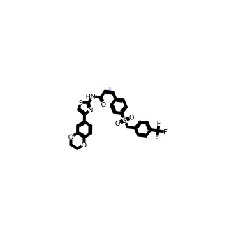 O=C(/C=C\c1ccc(S(=O)(=O)Cc2ccc(C(F)(F)F)cc2)cc1)Nc1nc(-c2ccc3c(c2)OCCO3)cs1